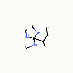 CCC(C)[Si](NC)(NC)NC